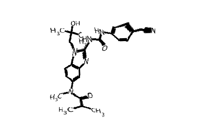 CC(C)C(=O)N(C)c1ccc2c(c1)nc(NC(=O)Nc1ccc(C#N)cc1)n2CC(C)(C)O